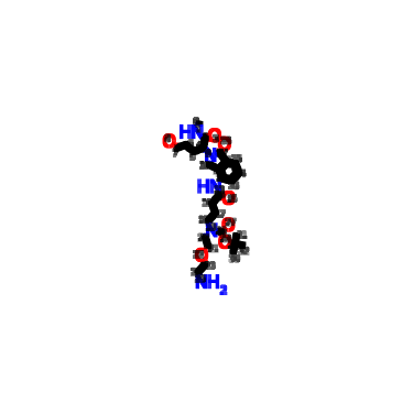 CNC(=O)C(CCC=O)N1Cc2c(NC(=O)CCCN(CCOCCN)C(=O)OC(C)(C)C)cccc2C1=O